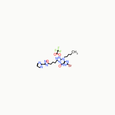 CCCCCN1c2nc(Br)[nH]c2C(=O)N2C(CCCc3nc(-c4ncccn4)no3)=NN(OC(=O)C(F)(F)F)C21